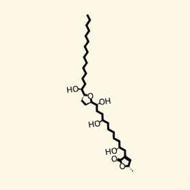 CCCCCCCCCCCCCC[C@H](O)[C@H]1CC[C@H]([C@H](O)CC[C@H](O)CCCCC[C@@H](O)CC2=C[C@H](C)OC2=O)O1